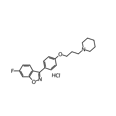 Cl.Fc1ccc2c(-c3ccc(OCCCN4CCCCC4)cc3)noc2c1